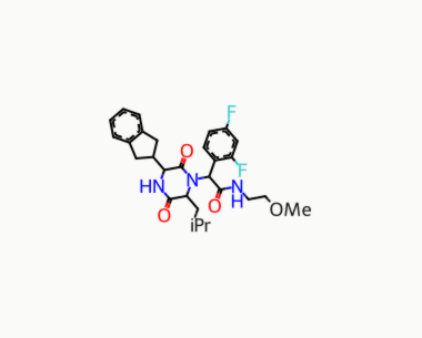 COCCNC(=O)C(c1ccc(F)cc1F)N1C(=O)C(C2Cc3ccccc3C2)NC(=O)C1CC(C)C